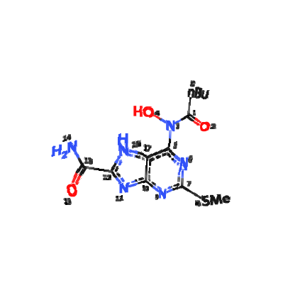 CCCCC(=O)N(O)c1nc(SC)nc2nc(C(N)=O)[nH]c12